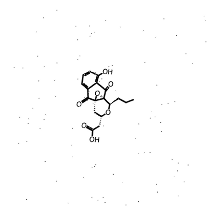 CCC[C@H]1O[C@H](CC(=O)O)C[C@]23O[C@]12C(=O)c1c(O)cccc1C3=O